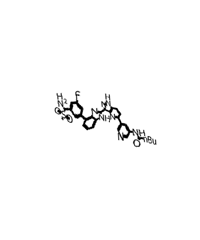 CCCCC(=O)Nc1cncc(-c2ccc3[nH]nc(-c4nc5c(-c6cc(F)cc(C(N)S(C)(=O)=O)c6)cccc5[nH]4)c3n2)c1